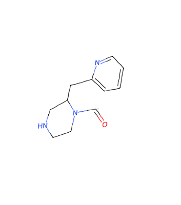 O=[C]N1CCNCC1Cc1ccccn1